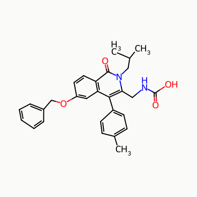 Cc1ccc(-c2c(CNC(=O)O)n(CC(C)C)c(=O)c3ccc(OCc4ccccc4)cc23)cc1